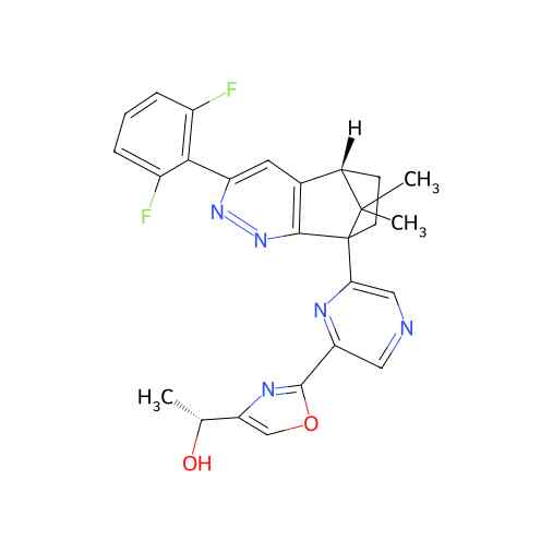 C[C@@H](O)c1coc(-c2cncc(C34CC[C@@H](c5cc(-c6c(F)cccc6F)nnc53)C4(C)C)n2)n1